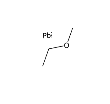 CCOC.[Pb]